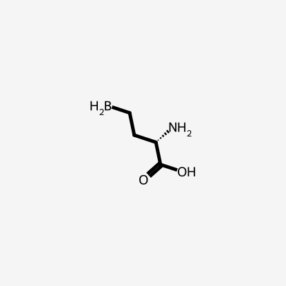 BCC[C@H](N)C(=O)O